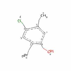 CCCc1cc(Cl)c(C)cc1O